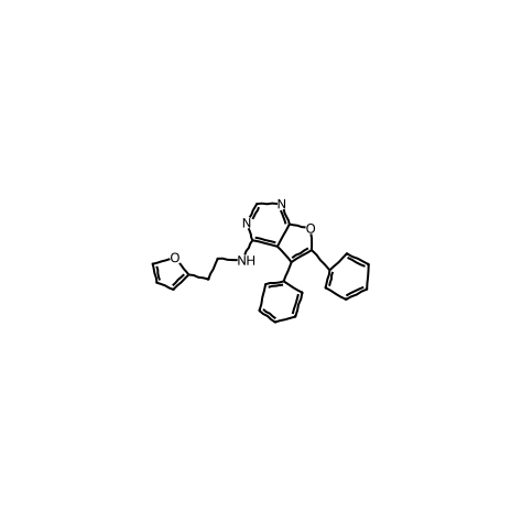 c1ccc(-c2oc3ncnc(NCCc4ccco4)c3c2-c2ccccc2)cc1